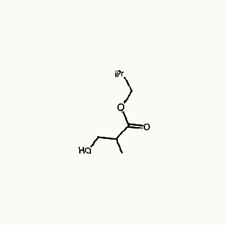 CC(C)COC(=O)C(C)CO